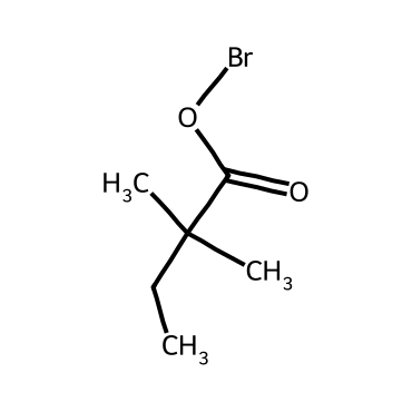 CCC(C)(C)C(=O)OBr